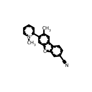 Cc1cc2c(cc1-c1cccc[n+]1C)oc1cc(C#N)ccc12